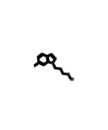 CC(C)OCCCn1ncc2ccc(I)cc21